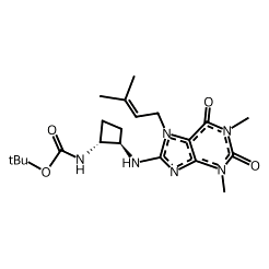 CC(C)=CCn1c(N[C@@H]2CC[C@H]2NC(=O)OC(C)(C)C)nc2c1c(=O)n(C)c(=O)n2C